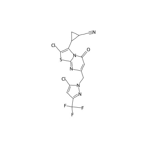 N#CC1CC1c1c(Cl)sc2nc(Cn3nc(C(F)(F)F)cc3Cl)cc(=O)n12